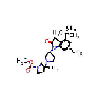 COC(=O)N1CCC(C)(N2CCC(N3C(=O)Cc4c3cc(C)cc4C(C)(C)C)CC2)C1